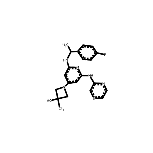 CC(Nc1cc(N2CC(O)(C(F)(F)F)C2)cc(Nc2cnccn2)n1)c1ccc(F)cc1